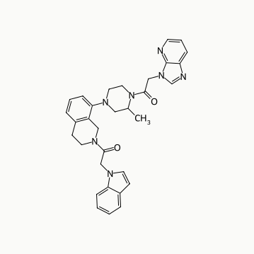 CC1CN(c2cccc3c2CN(C(=O)Cn2ccc4ccccc42)CC3)CCN1C(=O)Cn1cnc2cccnc21